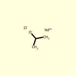 CC(C)[O-].[Cl-].[Nd+2]